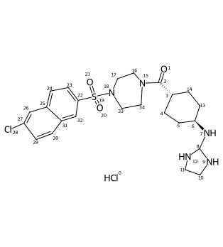 Cl.O=C([C@H]1CC[C@H](NC2NCCN2)CC1)N1CCN(S(=O)(=O)c2ccc3cc(Cl)ccc3c2)CC1